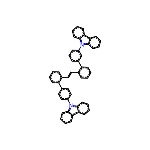 C(=C\c1ccccc1-c1cccc(-n2c3ccccc3c3ccccc32)c1)/c1ccccc1-c1ccc(-n2c3ccccc3c3ccccc32)cc1